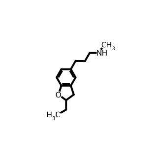 CCC1Cc2cc(CCCNC)ccc2O1